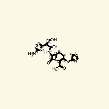 Nc1nc(/C(=N/O)C(=O)NC2C(=O)N3C(C(=O)O)=C(Sc4cscn4)CCC23)ns1